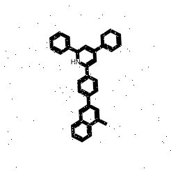 Cc1cc(-c2ccc(C3=CC(C4=CC=CCC4)=CC(c4ccccc4)N3)cc2)cc2ccccc12